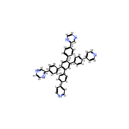 c1cc(-c2ccc(-c3cc(-c4ccc(-c5ccncc5)cc4)c(-c4ccc(-c5cnccn5)cc4)cc3-c3ccc(-c4cnccn4)cc3)cc2)ccn1